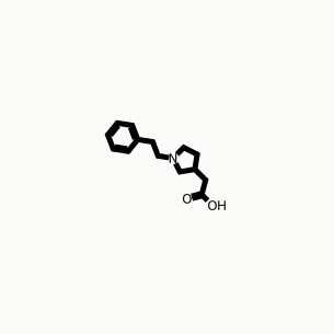 O=C(O)CC1CCN(CCc2ccccc2)C1